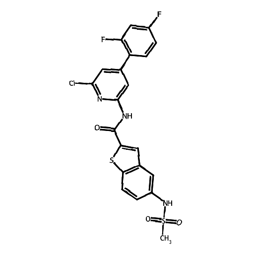 CS(=O)(=O)Nc1ccc2sc(C(=O)Nc3cc(-c4ccc(F)cc4F)cc(Cl)n3)cc2c1